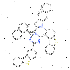 c1ccc2cc3c(cc2c1)c1ccccc1n3-c1ccc2sc3ccccc3c2c1-c1nc(-c2ccc3sc4ccccc4c3c2)nc(-c2cccc3ccccc23)n1